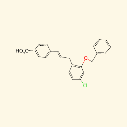 O=C(O)c1ccc(C=CCc2ccc(Cl)cc2OCc2ccccc2)cc1